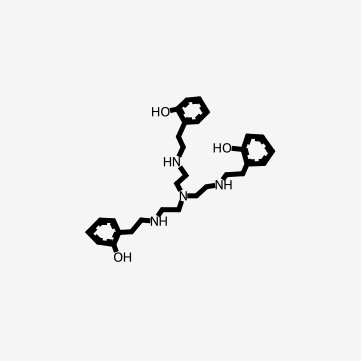 Oc1ccccc1CCNCCN(CCNCCc1ccccc1O)CCNCCc1ccccc1O